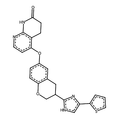 O=C1CCc2c(Oc3ccc4c(c3)CC(c3nc(-c5cccs5)c[nH]3)CO4)ccnc2N1